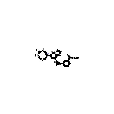 CNC(=O)c1cccc([C@H]2C[C@@H]2c2cc(/C3=C/NC(=O)NCOC3)nn3ccnc23)c1